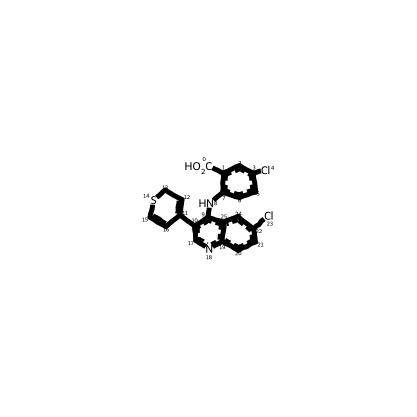 O=C(O)c1cc(Cl)ccc1Nc1c(C2=CCSC=C2)cnc2ccc(Cl)cc12